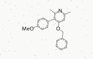 COc1ccc(-c2c(OCc3ccccc3)cc(C)nc2C)cc1